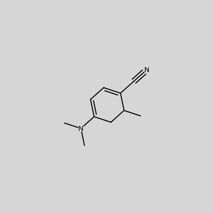 CC1CC(N(C)C)=CC=C1C#N